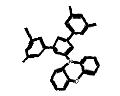 Cc1cc(C)cc(-c2cc(-c3cc(C)cc(C)c3)cc(N3c4ccccc4Oc4ccccc43)c2)c1